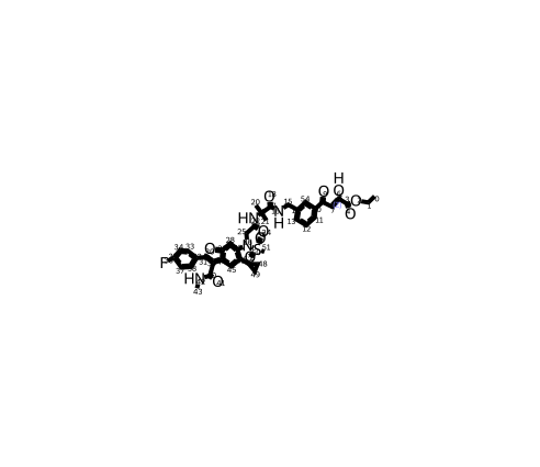 CCOC(=O)/C(O)=C/C(=O)c1cccc(CNC(=O)C(C)(C)NC(=O)CN(c2cc3oc(-c4ccc(F)cc4)c(C(=O)NC)c3cc2C2CC2)S(C)(=O)=O)c1